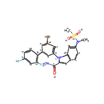 CN(c1ccc2cc(C(N)=O)n(-c3cc(Br)cc(-c4ccc(F)cc4F)c3)c2c1)S(C)(=O)=O